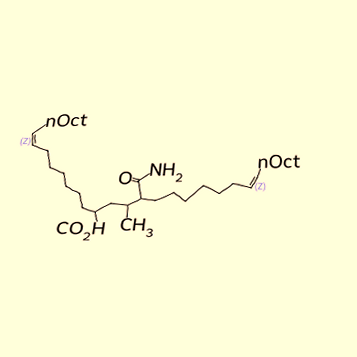 CCCCCCCC/C=C\CCCCCCC(CC(C)C(CCCCCC/C=C\CCCCCCCC)C(N)=O)C(=O)O